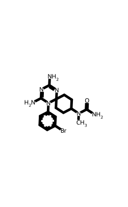 CN(C(N)=O)C1CCC2(CC1)N=C(N)N=C(N)N2c1cccc(Br)c1